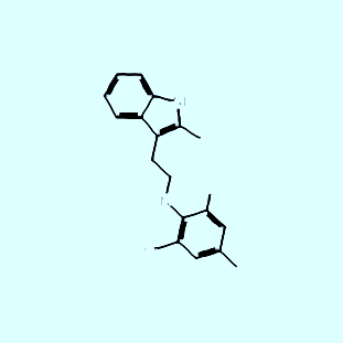 Cc1cc(Cl)c(NCCc2c(C)[nH]c3ccccc23)c(Cl)c1